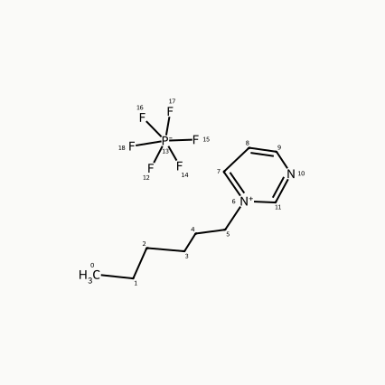 CCCCCC[n+]1cccnc1.F[P-](F)(F)(F)(F)F